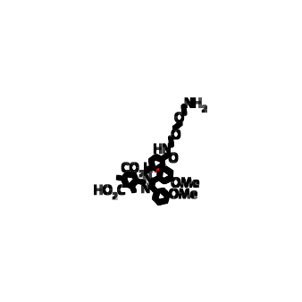 COc1cccc(-c2nc(-c3cc(C(=O)O)c(C)c(C(=O)O)c3C)n(Cc3ccc(C(=O)NCCOCCOCCN)cc3)c2-c2cccc(OC)c2)c1